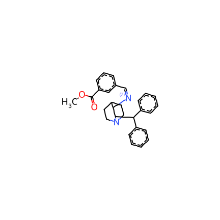 COC(=O)c1cccc(/C=N\C2C3CCN(CC3)C2C(c2ccccc2)c2ccccc2)c1